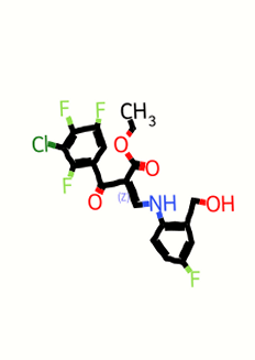 CCOC(=O)/C(=C\Nc1ccc(F)cc1CO)C(=O)c1cc(F)c(F)c(Cl)c1F